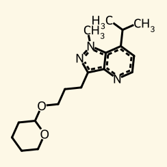 CC(C)c1ccnc2c(CCCOC3CCCCO3)nn(C)c12